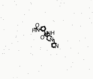 CC(=O)Nc1cccc(-n2[nH]c3c(c2=O)CCN(Cc2cccnc2)C3)c1